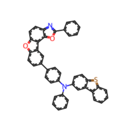 c1ccc(-c2nc3ccc4oc5ccc(-c6ccc(N(c7ccccc7)c7ccc8sc9ccccc9c8c7)cc6)cc5c4c3o2)cc1